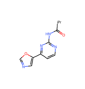 CC(C)C(=O)Nc1nccc(-c2cnco2)n1